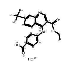 CCOC(=O)c1cnc2cc(C(F)(F)F)ccc2c1Nc1ccc(C(=O)O)cc1.Cl